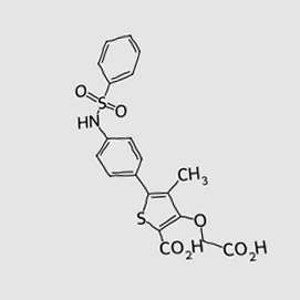 Cc1c(-c2ccc(NS(=O)(=O)c3ccccc3)cc2)sc(C(=O)O)c1OCC(=O)O